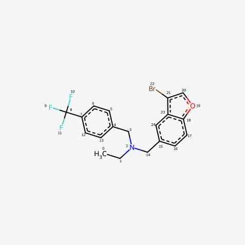 CCN(Cc1ccc(C(F)(F)F)cc1)Cc1ccc2occ(Br)c2c1